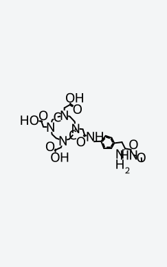 CONC(=O)[C@H](N)Cc1ccc(CNC(=O)CN2CCN(CC(=O)O)CCN(CC(=O)O)CCN(CC(=O)O)CC2)cc1